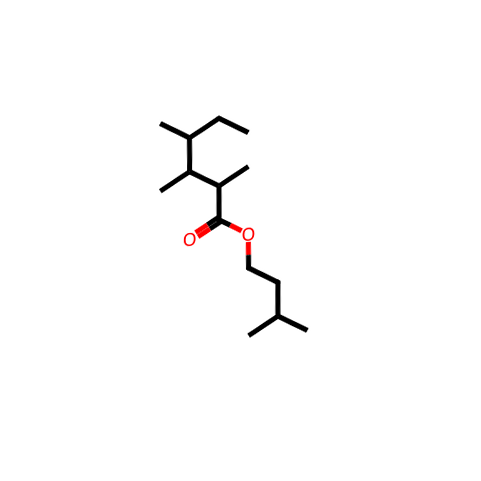 CCC(C)C(C)C(C)C(=O)OCCC(C)C